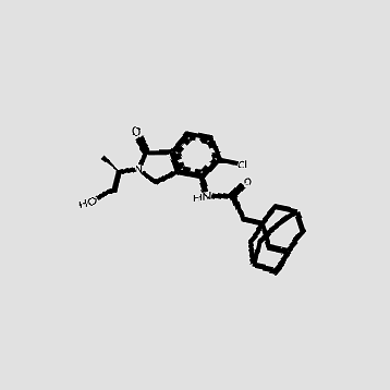 C[C@H](CO)N1Cc2c(ccc(Cl)c2NC(=O)CC23CC4CC(CC(C4)C2)C3)C1=O